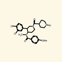 COc1ccc(C(=O)N(C)C2CCN(C(=O)C3CCN(C(C)=O)CC3)CC2c2ccc(Cl)c(Cl)c2)cc1